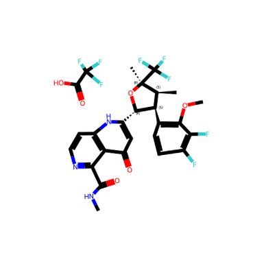 CNC(=O)c1nccc2[nH]c([C@@H]3O[C@@](C)(C(F)(F)F)[C@@H](C)[C@H]3c3ccc(F)c(F)c3OC)cc(=O)c12.O=C(O)C(F)(F)F